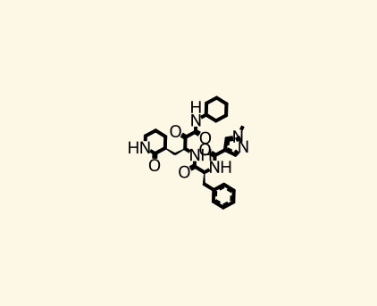 Cn1cc(C(=O)N[C@@H](Cc2ccccc2)C(=O)N[C@@H](C[C@@H]2CCCNC2=O)C(=O)C(=O)NC2CCCCC2)cn1